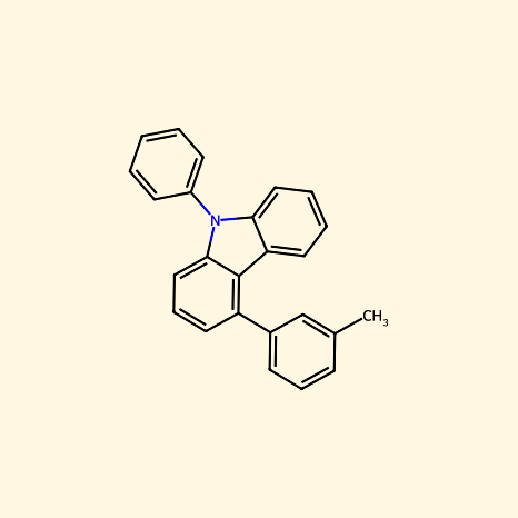 Cc1cccc(-c2cccc3c2c2ccccc2n3-c2ccccc2)c1